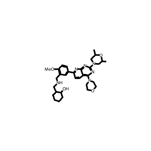 COc1ccc(-c2ccc3c(N4CCOCC4)nc(N4CC(C)OC(C)C4)nc3n2)cc1CNCC1CCCCC1O